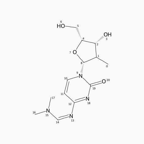 CC1[C@@H](O)[C@@H](CO)O[C@H]1n1ccc(/N=C\N(C)C)nc1=O